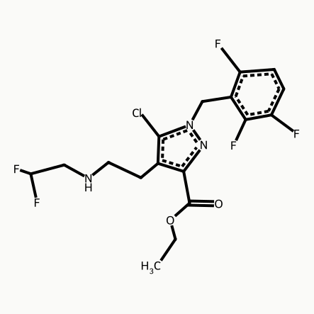 CCOC(=O)c1nn(Cc2c(F)ccc(F)c2F)c(Cl)c1CCNCC(F)F